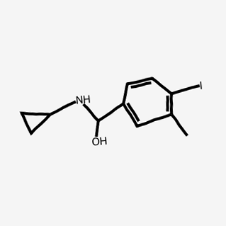 Cc1cc(C(O)NC2CC2)ccc1I